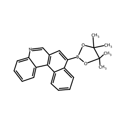 CC1(C)OB(c2cc3cnc4ccccc4c3c3ccccc23)OC1(C)C